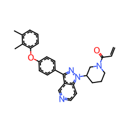 C=CC(=O)N1CCCC(n2nc(-c3ccc(Oc4cccc(C)c4C)cc3)c3cnccc32)C1